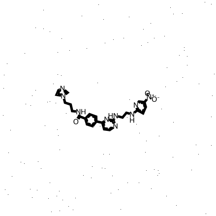 O=C(NCCCn1ccnc1)c1ccc(-c2ccnc(NCCNc3ccc([N+](=O)[O-])cn3)n2)cc1